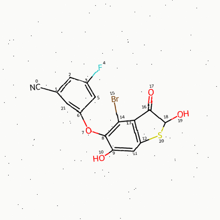 N#Cc1cc(F)cc(Oc2c(O)cc3c(c2Br)C(=O)C(O)S3)c1